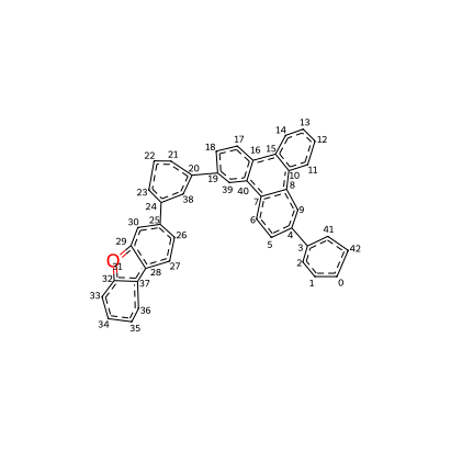 c1ccc(-c2ccc3c(c2)c2ccccc2c2ccc(-c4cccc(-c5ccc6c(c5)oc5ccccc56)c4)cc23)cc1